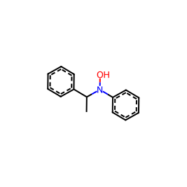 CC(c1ccccc1)N(O)c1ccccc1